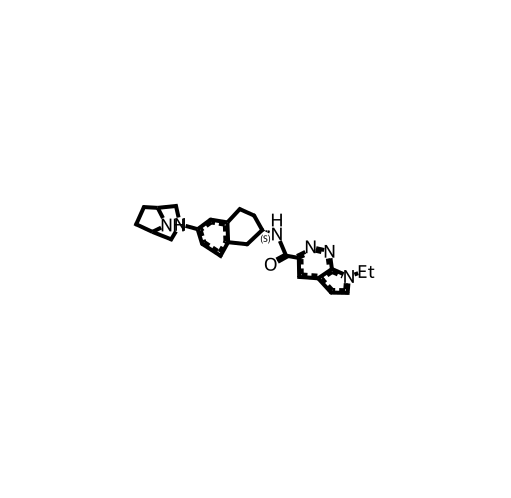 CCn1ccc2cc(C(=O)N[C@H]3CCc4cc(N5CC6CCC(C5)N6)ccc4C3)nnc21